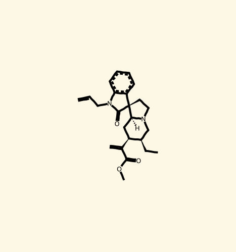 C=CCN1C(=O)[C@]2(CCN3C[C@@H](CC)[C@@H](C(=C)C(=O)OC)C[C@H]32)c2ccccc21